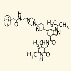 Cc1cc(C)c(CNC(=O)c2cc(-c3ccc(N4CCN(CCNC(=O)CC56CC7CC(CC(C7)C5)C6)CC4)nc3)cc3c2cnn3C(C)C)c(=O)[nH]1